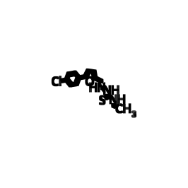 CCNC(=S)NNCc1ccc(-c2ccc(Cl)cc2)o1